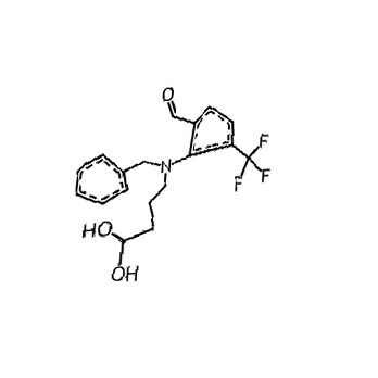 O=Cc1ccc(C(F)(F)F)cc1N(CCCC(O)O)Cc1ccccc1